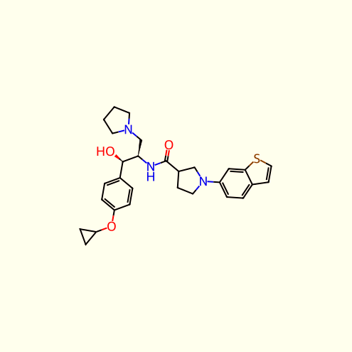 O=C(N[C@H](CN1CCCC1)[C@H](O)c1ccc(OC2CC2)cc1)C1CCN(c2ccc3ccsc3c2)C1